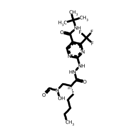 CCCCC[C@H](CN(O)C=O)C(=O)NNc1ncc(C(=O)NC(C)(C)C)c(C(F)(F)F)n1